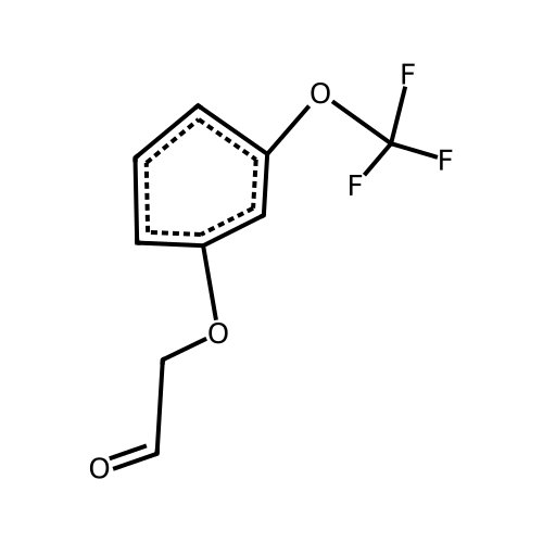 O=CCOc1cccc(OC(F)(F)F)c1